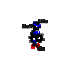 CNc1nc(SC)ncc1CNC1(C)CCN(C(=O)OC(C)(C)C)c2ccccc21